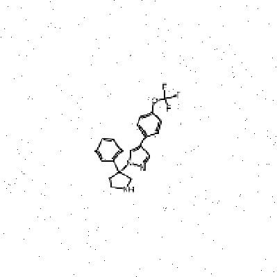 FC(F)(F)Oc1ccc(-c2cnn([C@]3(c4ccccc4)CCNC3)c2)cc1